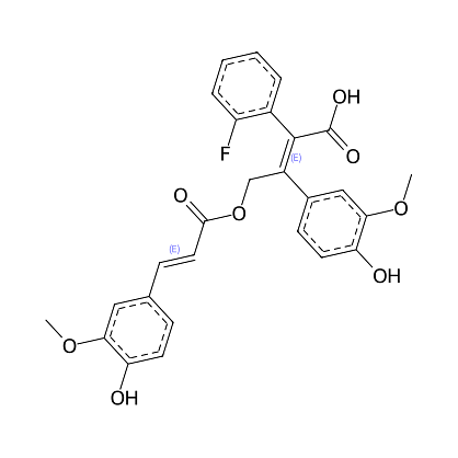 COc1cc(/C=C/C(=O)OC/C(=C(/C(=O)O)c2ccccc2F)c2ccc(O)c(OC)c2)ccc1O